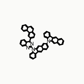 c1ccc2cc3c(cc2c1)c1ccccc1n3-c1ccc2cc3c4ccccc4n(-c4nc(-c5ccc6ccc7ccccc7c6c5)c5ccccc5n4)c3cc2c1